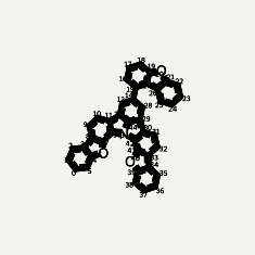 c1ccc2c(c1)oc1c2ccc2c3cc(-c4cccc5oc6ccccc6c45)cc4c5ccc6c7ccccc7oc6c5n(c34)c21